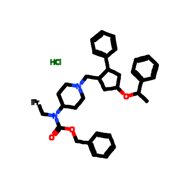 CC(C)CN(C(=O)OCc1ccccc1)C1CCN(CC2CC(OC(C)c3ccccc3)CC2c2ccccc2)CC1.Cl